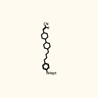 CCCCCCCc1ccc(CCCCC2CCC(C3CCC(C=C(F)C#N)CC3)CC2)cc1